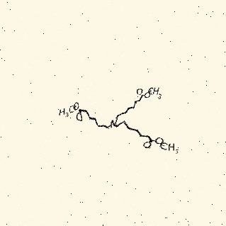 COC(=O)CCCCCCN(CCCCCCC(=O)OC)CCCCCCC(=O)OC